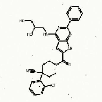 N#CC1(c2ccccc2Cl)CCN(C(=O)c2cc3c(NCC(O)CO)nc(-c4ccccc4)nc3[nH]2)CC1